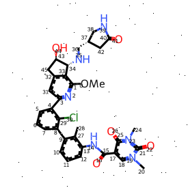 COc1nc(-c2cccc(-c3cccc(NC(=O)c4cn(C)c(=O)n(C)c4=O)c3C)c2Cl)cc2c1[C@@H](NC[C@@H]1CNC(=O)C1)[C@H](O)C2